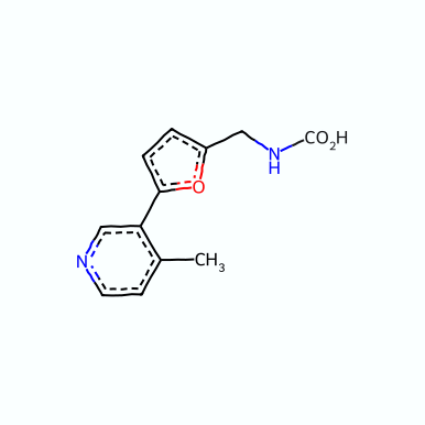 Cc1ccncc1-c1ccc(CNC(=O)O)o1